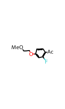 COCCOc1ccc(C(C)=O)c(F)c1